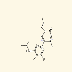 C=N/C=C(C)\C(=N/CCCC)c1cc(F)c(C)c(NC(C)C)c1